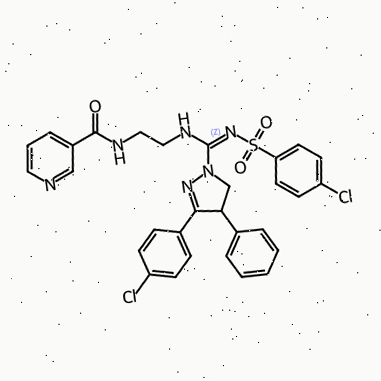 O=C(NCCN/C(=N/S(=O)(=O)c1ccc(Cl)cc1)N1CC(c2ccccc2)C(c2ccc(Cl)cc2)=N1)c1cccnc1